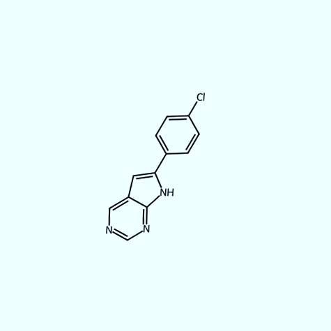 Clc1ccc(-c2cc3cncnc3[nH]2)cc1